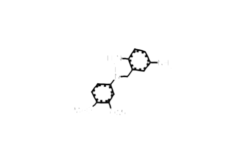 COc1ccc(NCc2cc(N)ccc2N)cc1OC